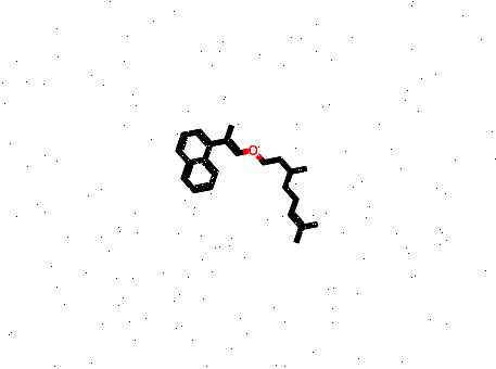 CC(C)=CCCC(C)CCOC=C(C)c1cccc2ccccc12